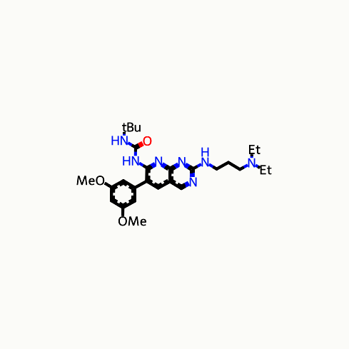 CCN(CC)CCCNc1ncc2cc(-c3cc(OC)cc(OC)c3)c(NC(=O)NC(C)(C)C)nc2n1